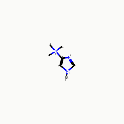 CCn1cnc([N+](C)(C)C)c1